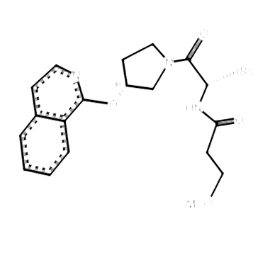 COCCC(=O)N[C@H](C(=O)N1CC[C@@H](Oc2nccc3ccccc23)C1)C(C)(C)C